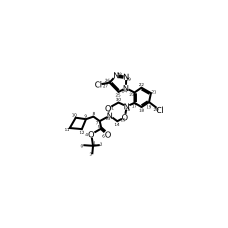 CC(C)(C)OC(=O)C(CC1CCC1)N1CON(c2cc(Cl)ccc2-n2cc(Cl)nn2)CO1